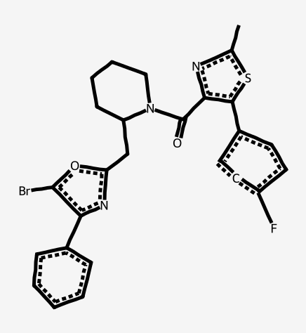 Cc1nc(C(=O)N2CCCCC2Cc2nc(-c3ccccc3)c(Br)o2)c(-c2ccc(F)cc2)s1